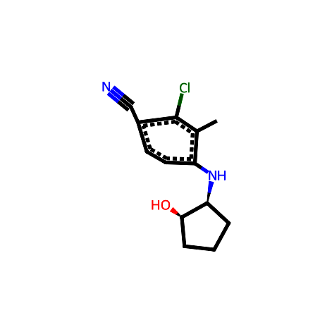 Cc1c(N[C@H]2CCC[C@H]2O)ccc(C#N)c1Cl